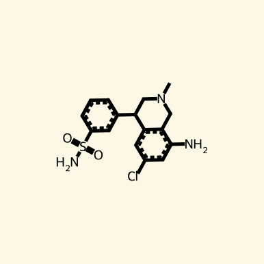 CN1Cc2c(N)cc(Cl)cc2C(c2cccc(S(N)(=O)=O)c2)C1